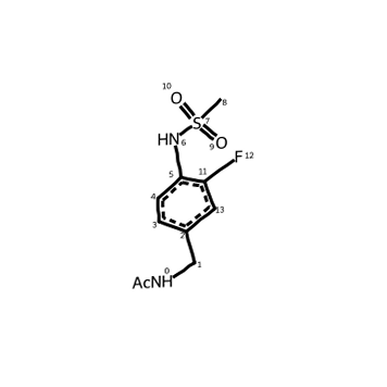 CC(=O)NCc1ccc(NS(C)(=O)=O)c(F)c1